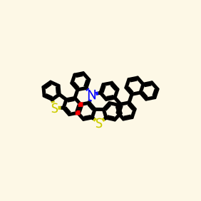 c1cc(-c2ccccc2-c2cccc3ccccc23)cc(N(c2ccccc2-c2cccc3sc4ccccc4c23)c2cccc3sc4ccccc4c23)c1